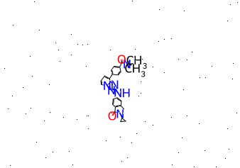 CN(C)C(=O)c1ccc(-c2cccn3nc(Nc4ccc5c(c4)CN(C4CC4)C5=O)nc23)cc1